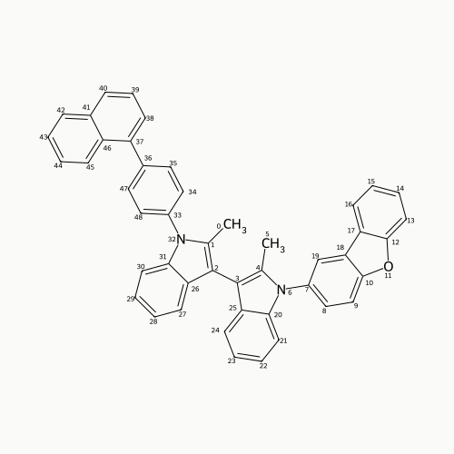 Cc1c(-c2c(C)n(-c3ccc4oc5ccccc5c4c3)c3ccccc23)c2ccccc2n1-c1ccc(-c2cccc3ccccc23)cc1